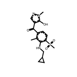 Cc1c(C(=O)c2cnn(C)c2O)ccc(S(C)(=O)=O)c1NCC1CC1